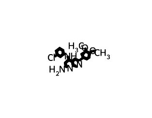 COc1ccc(-c2cc3c(Nc4cccc(Cl)c4)cc(N)nc3cn2)cc1OC